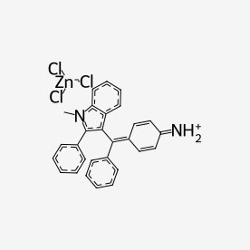 Cn1c(-c2ccccc2)c(C(=C2C=CC(=[NH2+])C=C2)c2ccccc2)c2ccccc21.[Cl][Zn-]([Cl])[Cl]